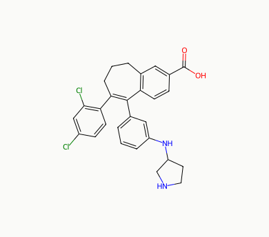 O=C(O)c1ccc2c(c1)CCCC(c1ccc(Cl)cc1Cl)=C2c1cccc(NC2CCNC2)c1